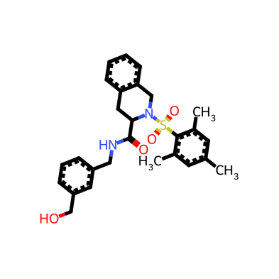 Cc1cc(C)c(S(=O)(=O)N2Cc3ccccc3CC2C(=O)NCc2cccc(CO)c2)c(C)c1